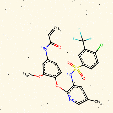 C=CC(=O)Nc1ccc(Oc2ncc(C)cc2NS(=O)(=O)c2ccc(Cl)c(C(F)(F)F)c2)c(OC)c1